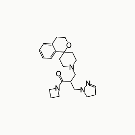 O=C(C(CN1CCC2(CC1)OCCc1ccccc12)CN1CCC=N1)N1CCC1